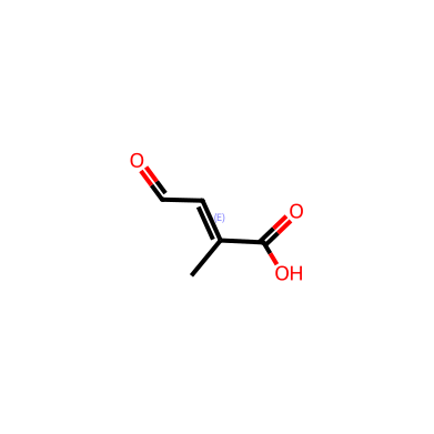 C/C(=C\C=O)C(=O)O